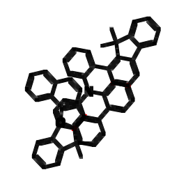 CC1(C)c2ccccc2-c2ccc(N(c3ccccc3-c3cccc4c3C(C)(C)c3ccccc3-4)c3ccccc3-c3cccc4oc5c6ccccc6ccc5c34)cc21